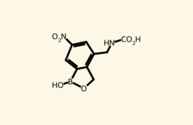 O=C(O)NCc1cc([N+](=O)[O-])cc2c1COB2O